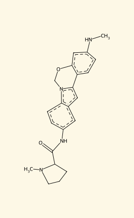 CNc1ccc2c(c1)OCn1c-2cc2cc(NC(=O)C3CCCN3C)ccc21